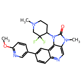 COc1ccc(-c2ccc3ncc4c(c3c2)n(C2CCN(C)CC2(F)F)c(=O)n4C)cn1